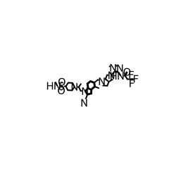 CNS(=O)(=O)C1CCN(C(C)Cn2c(C#N)cc3c(C)c(CN4CCC5CN(c6c(NC(=O)CC(F)(F)F)ncn6C)CC54)ccc32)CC1